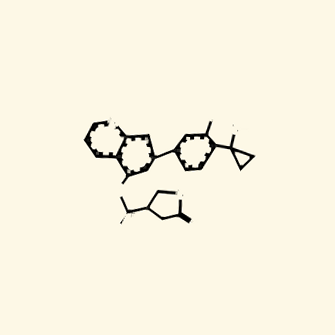 C[C@@H](Oc1cc(-c2ccc(C3(N)CC3)c(Cl)c2)cc2ncccc12)C1CNC(=O)C1